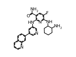 NC(=O)c1cc(F)c(NC2CCCCC2N)nc1Nc1cncc(-c2ccc3cccnc3c2)c1